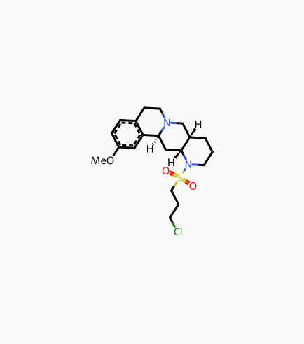 COc1ccc2c(c1)[C@@H]1C[C@@H]3[C@@H](CCCN3S(=O)(=O)CCCCl)CN1CC2